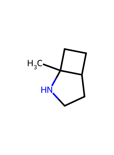 CC12CCC1CCN2